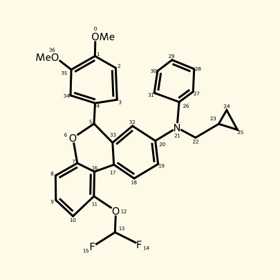 COc1ccc(C2Oc3cccc(OC(F)F)c3-c3ccc(N(CC4CC4)c4ccccc4)cc32)cc1OC